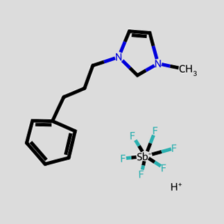 CN1C=CN(CCCc2ccccc2)C1.[F][Sb-]([F])([F])([F])([F])[F].[H+]